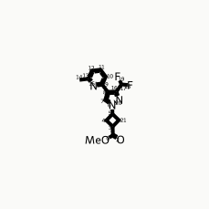 COC(=O)C1CC(n2cc(-c3cccc(C)n3)c(C(F)F)n2)C1